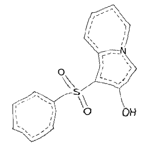 O=S(=O)(c1ccccc1)c1c(O)cn2ccccc12